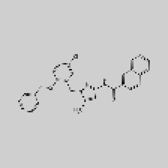 Cc1cc(NC(=O)c2ccc3ccccc3c2)nn1Cc1cc(Cl)ccc1OCc1ccccc1